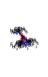 CC1(C)CC(NCCOCCN(CCOCCNC2=C(C#N)/C(=C(\C#N)C(F)(F)F)CC(C)(C)C2)CCOCCNC2=C(C#N)/C(=C(\C#N)C(F)(F)F)CC(C)(C)C2)=C(C#N)/C(=C(\C#N)C(F)(F)F)C1